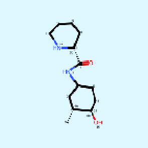 C[C@@H]1CC(NC(=O)[C@H]2CCCCN2)CC[C@H]1O